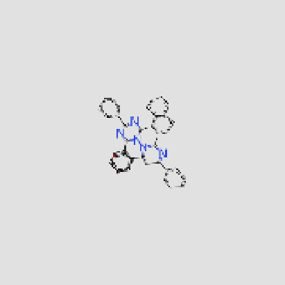 c1ccc(-c2cc(-c3ccccc3)nc(-c3ccc4ccccc4c3-c3nc(-c4ccccc4)nc(-c4ccccc4)n3)n2)cc1